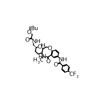 CN1C(=O)c2cc(NC(=O)c3ccc(C(F)(F)F)cc3)ccc2OC[C@@H]2O[C@H](CNC(=O)COC(C)(C)C)CC[C@@H]21